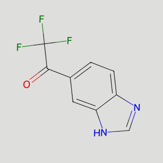 O=C(c1ccc2nc[nH]c2c1)C(F)(F)F